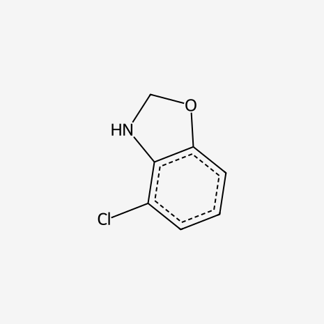 Clc1cccc2c1NCO2